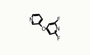 Fc1cc(Oc2cccnc2)cc(F)n1